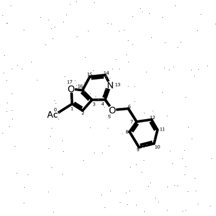 CC(=O)c1cc2c(OCc3ccccc3)nccc2o1